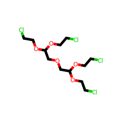 ClCCOC(COCC(OCCCl)OCCCl)OCCCl